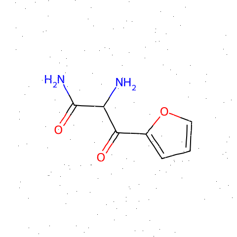 NC(=O)C(N)C(=O)c1ccco1